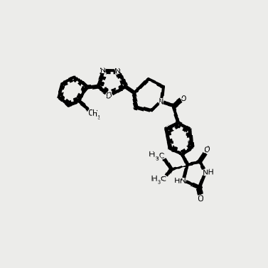 Cc1ccccc1-c1nnc(C2CCN(C(=O)c3ccc([C@@]4(C(C)C)NC(=O)NC4=O)cc3)CC2)o1